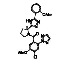 COc1cc(C(=O)N2CCC[C@H]2c2nnc(-c3ccccc3OC)[nH]2)c(-n2nccn2)cc1Cl